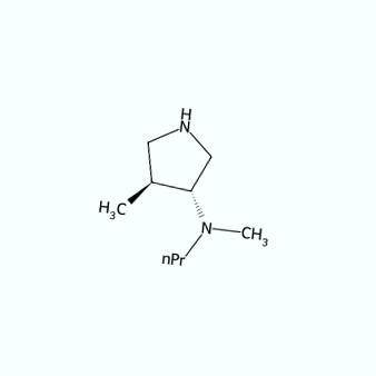 CCCN(C)[C@H]1CNC[C@@H]1C